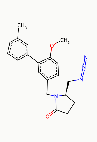 COc1ccc(CN2C(=O)CC[C@@H]2CN=[N+]=[N-])cc1-c1cccc(C)c1